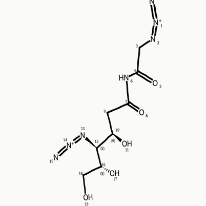 [N-]=[N+]=NCC(=O)NC(=O)C[C@@H](O)[C@H](N=[N+]=[N-])[C@H](O)CO